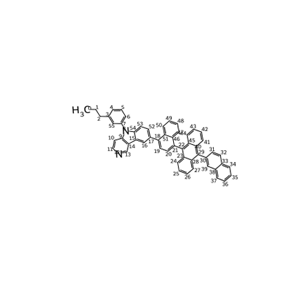 CCCc1cccc(-n2c3ccncc3c3cc(-c4ccc(-c5c6ccccc6c(-c6ccc7ccccc7c6)c6ccccc56)c5ccccc45)ccc32)c1